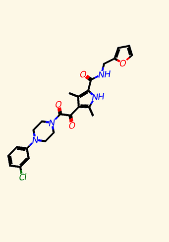 Cc1[nH]c(C(=O)NCc2ccco2)c(C)c1C(=O)C(=O)N1CCN(c2cccc(Cl)c2)CC1